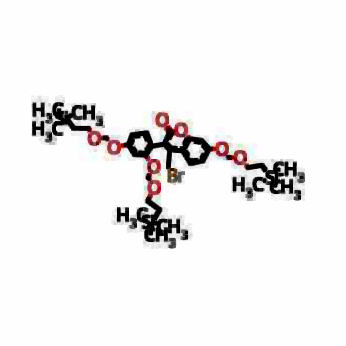 C[Si](C)(C)CCOCOc1ccc(-c2c(CBr)c3ccc(OCOCC[Si](C)(C)C)cc3oc2=O)c(OCOCC[Si](C)(C)C)c1